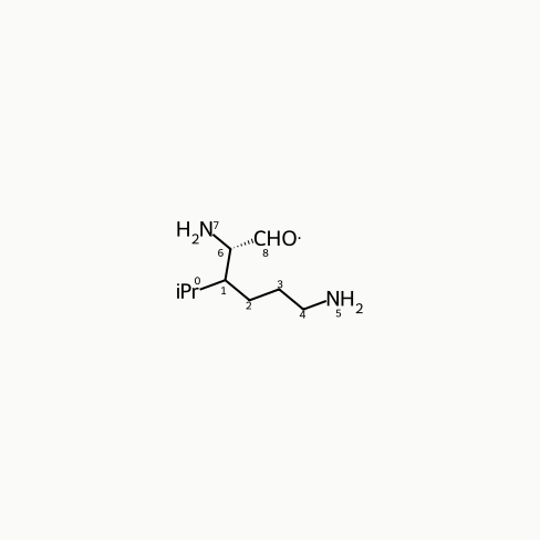 CC(C)C(CCCN)[C@H](N)[C]=O